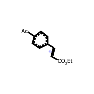 CCOC(=O)/C=C/c1ccc(C(C)=O)cc1